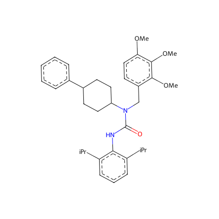 COc1ccc(CN(C(=O)Nc2c(C(C)C)cccc2C(C)C)C2CCC(c3ccccc3)CC2)c(OC)c1OC